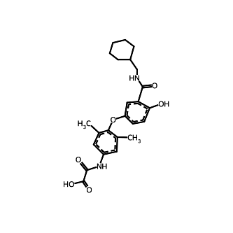 Cc1cc(NC(=O)C(=O)O)cc(C)c1Oc1ccc(O)c(C(=O)NCC2CCCCC2)c1